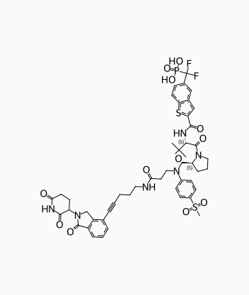 CC(C)(C)[C@H](NC(=O)c1cc2cc(C(F)(F)P(=O)(O)O)ccc2s1)C(=O)N1CCC[C@H]1C(=O)N(CCC(=O)NCCCC#Cc1cccc2c1CN(C1CCC(=O)NC1=O)C2=O)c1ccc(S(C)(=O)=O)cc1